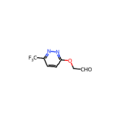 O=CCOc1ccc(C(F)(F)F)nn1